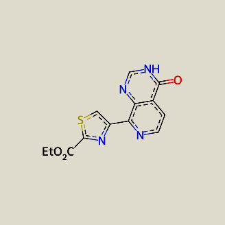 CCOC(=O)c1nc(-c2nccc3c(=O)[nH]cnc23)cs1